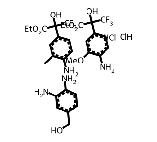 CCOC(=O)C(O)(c1ccc(N)c(C)c1)C(F)(F)F.CCOC(=O)C(O)(c1ccc(N)c(OC)c1)C(F)(F)F.Cl.Cl.Nc1ccc(CO)cc1N